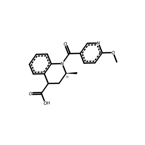 COc1ccc(C(=O)N2c3ccccc3C(C(=O)O)C[C@@H]2C)cn1